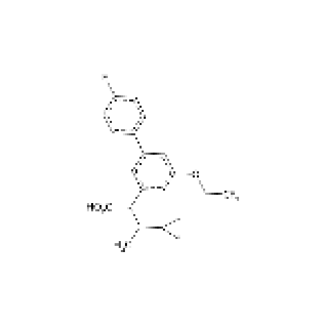 CC(C1CC1)C(C(=O)O)c1cc(OCC(F)(F)F)cc(-c2ccc(F)cc2)c1